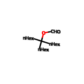 CCCCCCC(CCCCCC)(CCCCCC)OC=O